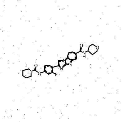 O=C(NC1CCOCC1)c1ccc2c(c1)sc1nc(-c3ccc(OC(=O)N4CCCCC4)cc3F)cn12